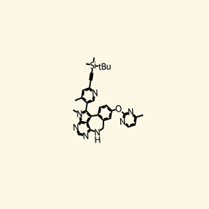 Cc1ccnc(Oc2ccc3c(c2)CNc2ncnc4c2c-3c(-c2cnc(C#C[Si](C)(C)C(C)(C)C)cc2C)n4C)n1